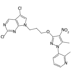 Cc1ncccc1-n1nc(OCCCn2cc(Cl)c3cnc(Cl)nc32)c([N+](=O)[O-])c1C